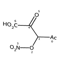 CC(=O)C(O[N+](=O)[O-])C(=O)C(=O)O